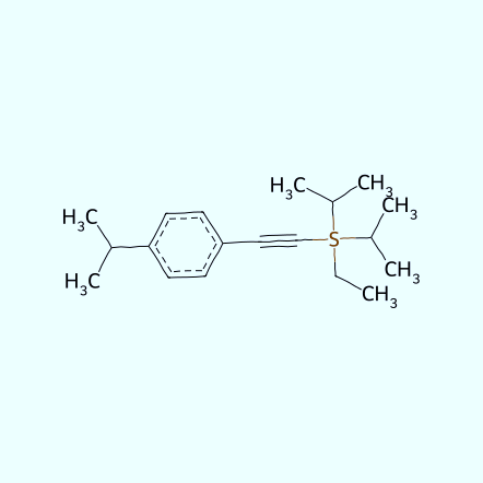 CCS(C#Cc1ccc(C(C)C)cc1)(C(C)C)C(C)C